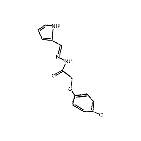 O=C(COc1ccc(Cl)cc1)N/N=C/c1ccc[nH]1